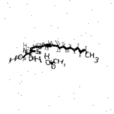 CC(=O)O.CCCCCCCCCCC#Cc1ccc(C(O)C(N)CO)s1